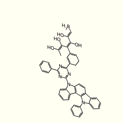 B/C=C(O)/C(O)=C(C1=CCCC(c2nc(-c3ccccc3)nc(-n3c4ccccc4c4c3ccc3c5ccccc5n(-c5ccccc5)c34)n2)=C1)\C(O)=C(/C)O